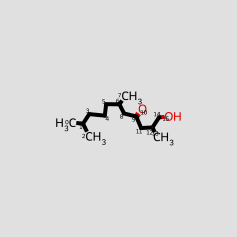 CC(C)CCCC(C)CC(=O)CC(C)CO